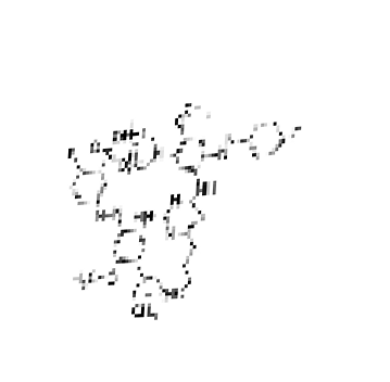 CCN(CC)c1cc(Nc2nc(Nc3cc(N(CC)CC)c(OC)cc3/N=N/c3ccc(F)c(S(=O)(=O)O)c3)nc(SCCO)n2)c(/N=N/c2ccc(F)cc2)cc1OC